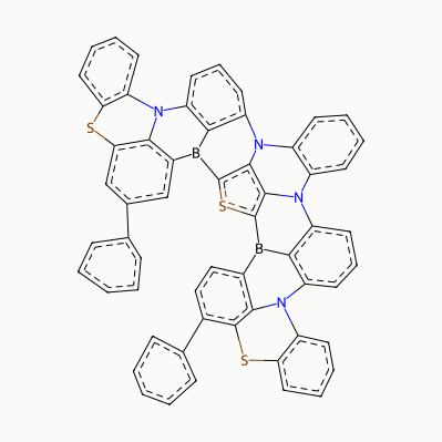 c1ccc(-c2cc3c4c(c2)B2c5sc6c7c5N(c5ccccc5N7c5cccc7c5B6c5ccc(-c6ccccc6)c6c5N7c5ccccc5S6)c5cccc(c52)N4c2ccccc2S3)cc1